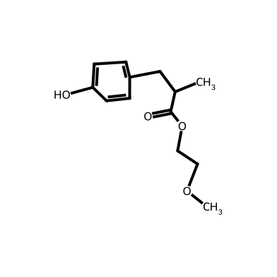 COCCOC(=O)C(C)Cc1ccc(O)cc1